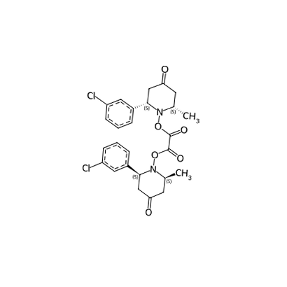 C[C@H]1CC(=O)C[C@@H](c2cccc(Cl)c2)N1OC(=O)C(=O)ON1[C@@H](C)CC(=O)C[C@H]1c1cccc(Cl)c1